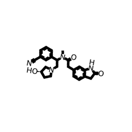 CN(C(=O)Cc1ccc2c(c1)NC(=O)C2)C(CN1CC[C@H](O)C1)c1cccc(C#N)c1